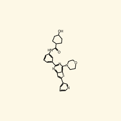 O=C(Nc1cccc(-c2nc(N3CCOCC3)c3sc(-c4cccnc4)cc3n2)c1)C1CCC(O)CC1